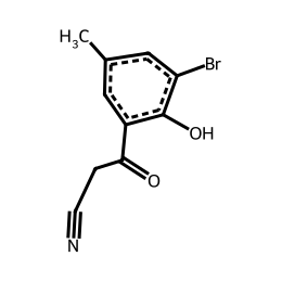 Cc1cc(Br)c(O)c(C(=O)CC#N)c1